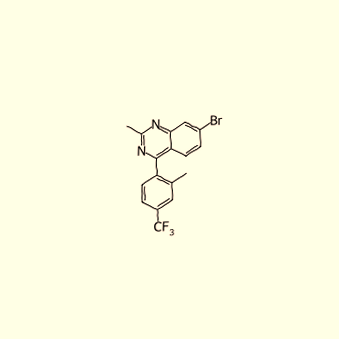 Cc1nc(-c2ccc(C(F)(F)F)cc2C)c2ccc(Br)cc2n1